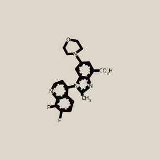 Cc1nc2c(C(=O)O)cc(N3CCOCC3)cc2n1-c1ccnc2c(F)c(F)ccc12